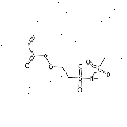 C=C(C)C(=O)OOCCS(=O)(=O)NS(C)(=O)=O